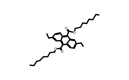 CCCCCCCCOC(=O)c1c2ccc(CC)cc2c(C(=O)OCCCCCCCC)c2ccc(CC)cc12